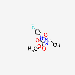 C#CCn1nc(C(=O)OCC)c(=O)n(-c2ccc(F)cc2)c1=O